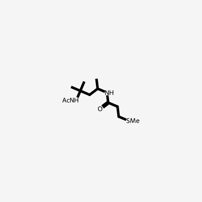 CSCCC(=O)NC(C)CC(C)(C)NC(C)=O